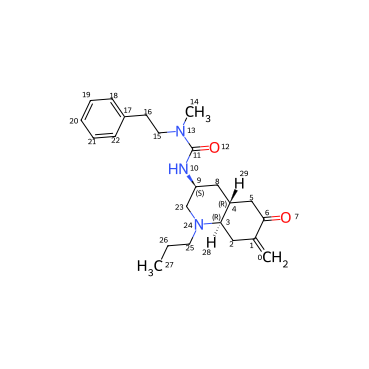 C=C1C[C@@H]2[C@@H](CC1=O)C[C@H](NC(=O)N(C)CCc1ccccc1)CN2CCC